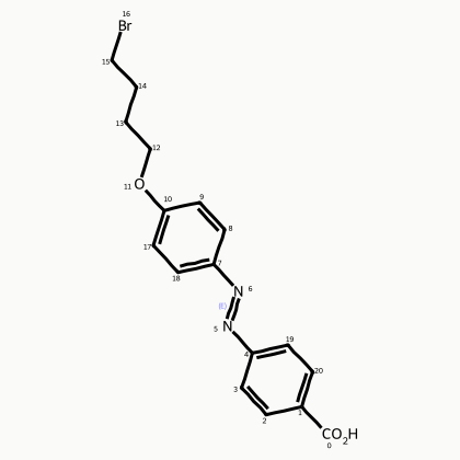 O=C(O)c1ccc(/N=N/c2ccc(OCCCCBr)cc2)cc1